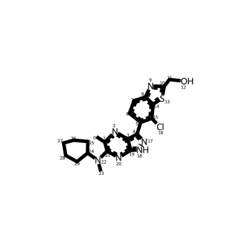 Cc1nc2c(-c3ccc4nc(CO)sc4c3Cl)n[nH]c2nc1N(C)C1CCCCC1